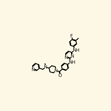 Cc1cc(Nc2ccnc(Nc3ccc(C(=O)N4CCC(N(C)Cc5cccnc5)CC4)cc3)n2)ccc1F